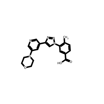 Cc1ccc(C(=O)O)cc1-n1cc(-c2cncc(N3CCOCC3)c2)nn1